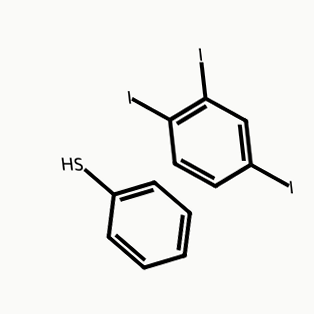 Ic1ccc(I)c(I)c1.Sc1ccccc1